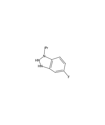 CC(C)N1NNc2cc(F)ccc21